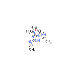 CCCNC(=N)/N=C(\N=C(/C)NCCC)N(C)OC